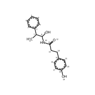 CC(c1ccccc1)C(O)NC(=O)CCc1ccc(O)cc1